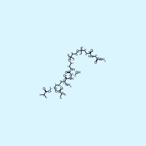 CC(C)C(=O)OC[C@H](CSC[C@H](N)C(=O)N[C@@H](CO)C(=O)NCCOC(C)(C)CCOC(C)(C)CCC(=O)NCC(N)=O)OC(=O)C(C)C